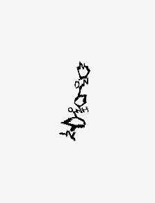 CN(C)c1ccc(C(=O)Nc2ccc(-c3nc4ccncc4o3)cc2)cc1